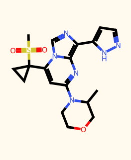 CC1COCCN1c1cc(C2(S(C)(=O)=O)CC2)n2cnc(-c3ccn[nH]3)c2n1